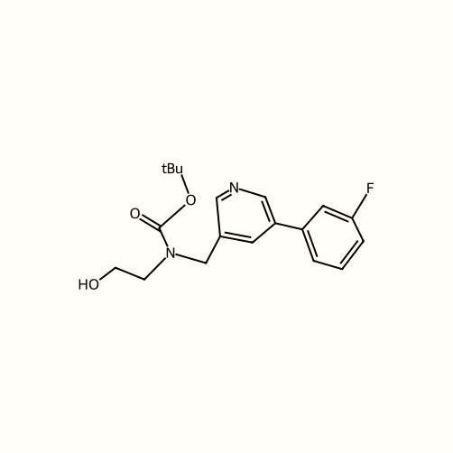 CC(C)(C)OC(=O)N(CCO)Cc1cncc(-c2cccc(F)c2)c1